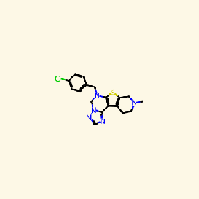 CN1CCc2c(sc3c2-c2ncnn2CN3Cc2ccc(Cl)cc2)C1